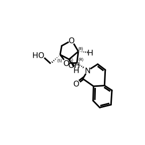 O=c1c2ccccc2ccn1[C@@H]1O[C@@]2(CO)CO[C@@H]1[C@@H]2O